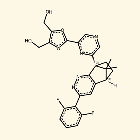 CC1(C)[C@H]2CC[C@]1(c1cncc(-c3nc(CO)c(CO)o3)n1)c1nnc(-c3c(F)cccc3F)cc12